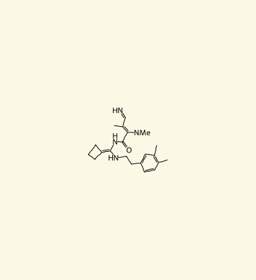 CN/C(C(=O)NC(NCCc1ccc(C)c(C)c1)=C1CCC1)=C(/C)C=N